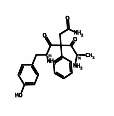 C[C@@H](N)C(=O)C(CC(N)=O)(C(=O)[C@H](N)Cc1ccc(O)cc1)c1ccccc1